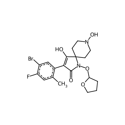 Cc1cc(F)c(Br)cc1C1=C(O)C2(CCN(O)CC2)N(OC2CCCO2)C1=O